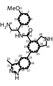 COc1cccc(C(CN)NC(=O)c2cc(-c3ccc4[nH]nc(C)c4c3)cc3c2CNC3)c1